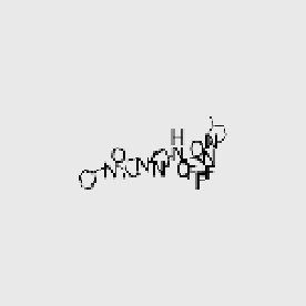 CC1CCCN(c2nc(C(F)(F)F)c(C(=O)Nc3ccc(N4CCC5(CCN(Cc6ccccc6)C5=O)CC4)nc3)o2)C1